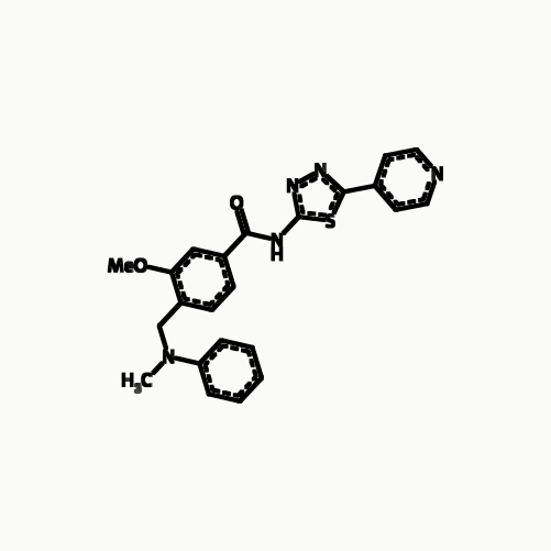 COc1cc(C(=O)Nc2nnc(-c3ccncc3)s2)ccc1CN(C)c1ccccc1